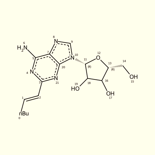 CCCCC=Cc1nc(N)c2ncn([C@@H]3O[C@H](CO)C(O)C3O)c2n1